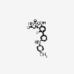 CN1CCC(Nc2cccc(-c3ccc(O)c(N4CC(=O)NS4(=O)=O)c3F)c2)CC1